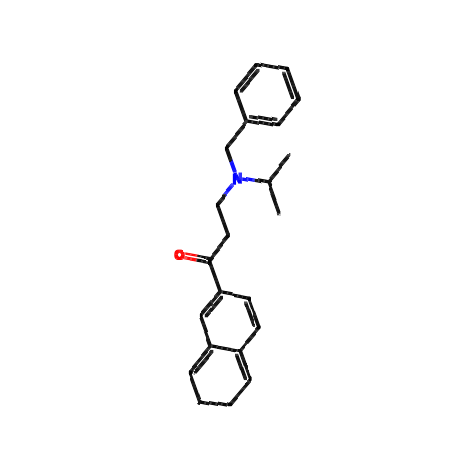 CC(C)N(CCC(=O)c1ccc2c(c1)=CCCC=2)Cc1ccccc1